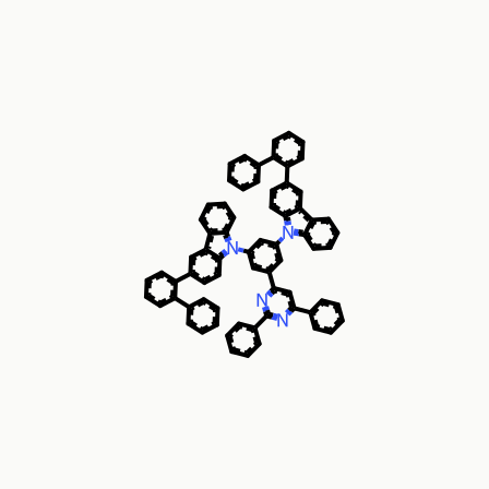 c1ccc(-c2cc(-c3cc(-n4c5ccccc5c5cc(-c6ccccc6-c6ccccc6)ccc54)cc(-n4c5ccccc5c5cc(-c6ccccc6-c6ccccc6)ccc54)c3)nc(-c3ccccc3)n2)cc1